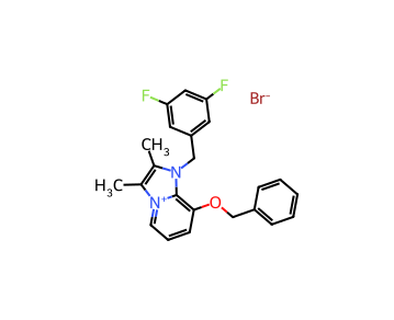 Cc1c(C)[n+]2cccc(OCc3ccccc3)c2n1Cc1cc(F)cc(F)c1.[Br-]